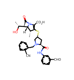 C[C@@H](O)[C@H]1C(=O)N2C(C(=O)O)=C(S[C@H]3C[C@@H](C(=O)Nc4cccc(C=O)c4)N(Cc4ccccc4C#N)C3)[C@H](C)[C@H]12